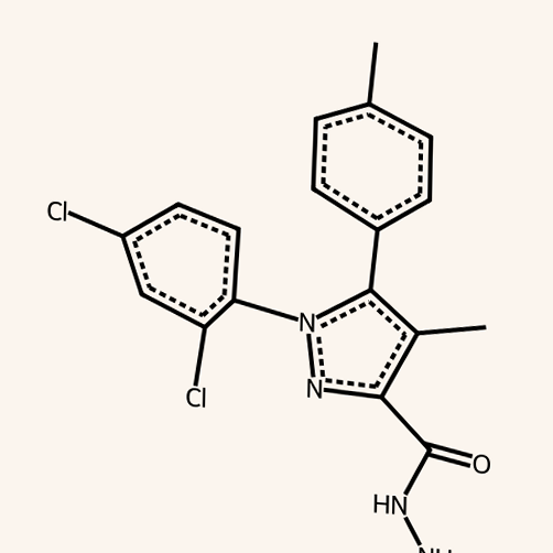 Cc1ccc(-c2c(C)c(C(=O)NN)nn2-c2ccc(Cl)cc2Cl)cc1